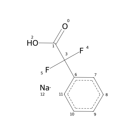 O=C(O)C(F)(F)c1ccccc1.[Na]